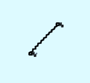 [CH2]CCCCCCCCCCCCCCCC=CCCCC